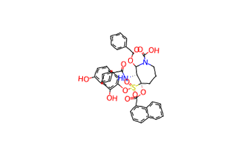 O=C(N[C@@H]1C(OC(=O)c2ccccc2)N(C(=O)O)CCC[C@@]1(OC(=O)c1cccc2ccccc12)S(=O)(=O)Oc1ccccc1O)c1ccc(O)cc1